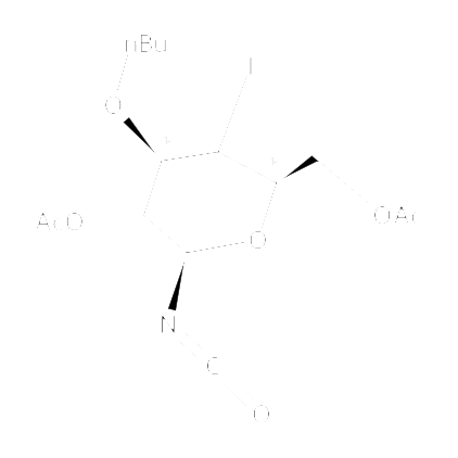 CCCCO[C@H]1C(I)[C@@H](COC(C)=O)O[C@@H](N=C=O)[C@@H]1OC(C)=O